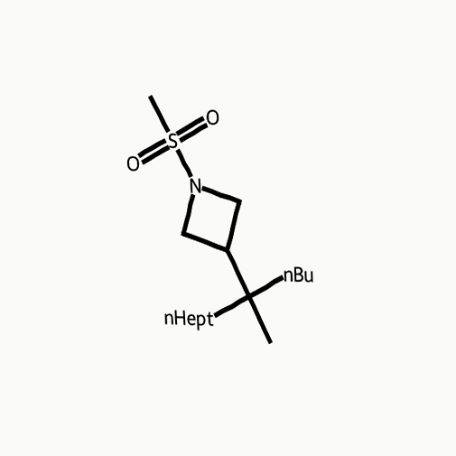 CCCCCCCC(C)(CCCC)C1CN(S(C)(=O)=O)C1